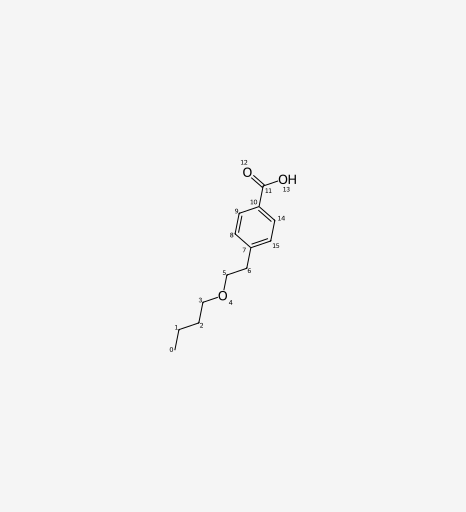 CCCCOCCc1ccc(C(=O)O)cc1